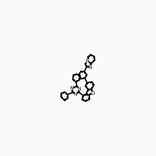 c1ccc(-c2nc(-c3ccccc3)nc(-c3cccc4oc5ccc(-c6cccc(-c7cn8ccccc8n7)c6)cc5c34)n2)cc1